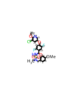 COc1ccc(CN(C)S(=O)(=O)NC(=O)c2cc(F)c(Oc3cnc(OC(C)C)c(Cl)c3)cc2F)cc1